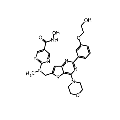 CN(Cc1cc2nc(-c3cccc(OCCO)c3)nc(N3CCOCC3)c2s1)c1ncc(C(=O)NO)cn1